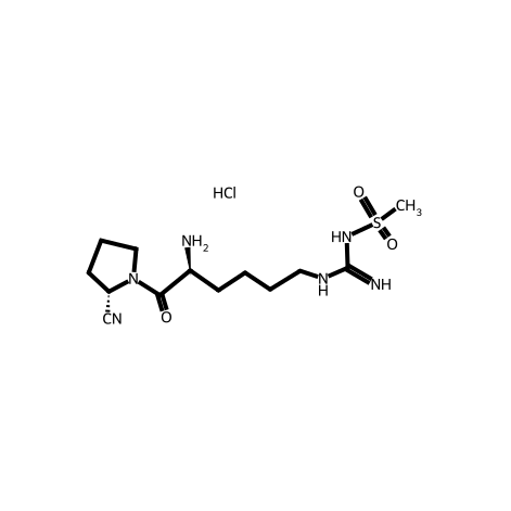 CS(=O)(=O)NC(=N)NCCCC[C@H](N)C(=O)N1CCC[C@H]1C#N.Cl